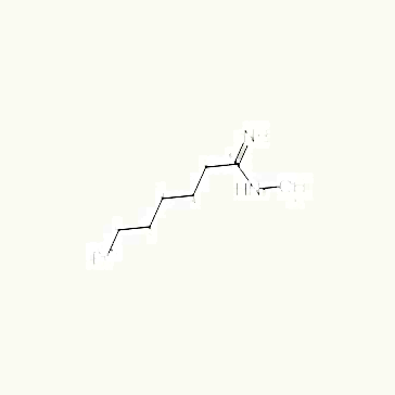 CC(C)CCCCCC(=N)NO